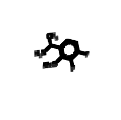 COc1c([C@H](C)N)ccc(F)c1F